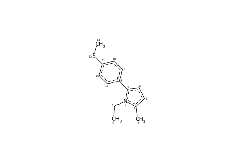 CCn1c(C)ccc1-c1ccc(SC)cc1